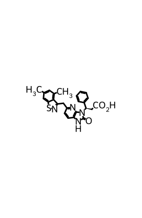 Cc1cc(C)c2c(Cc3ccc4[nH]c(=O)n([C@H](CC(=O)O)c5ccccc5)c4n3)nsc2c1